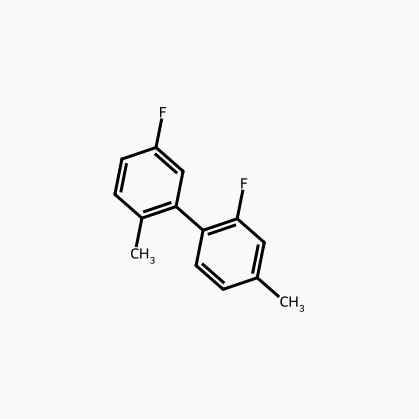 Cc1ccc(-c2cc(F)ccc2C)c(F)c1